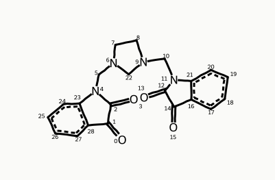 O=C1C(=O)N(CN2CCN(CN3C(=O)C(=O)c4ccccc43)C2)c2ccccc21